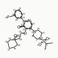 CC(C)S(=O)(=O)N1CCN(c2cnn(-c3cccc(F)c3)c(=O)c2OCCC2(O)CCCCC2)CC1